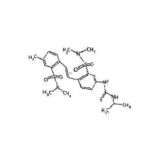 Cc1ccc(/C=C/c2ccc(NC(=S)NC(C)C)cc2S(=O)(=O)N(C)C)c(S(=O)(=O)N(C)C)c1